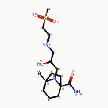 CS(=O)(=O)CCNCC(O)CN1[C@@H]2C[CH]C[C@@]1(C(N)=O)CC2